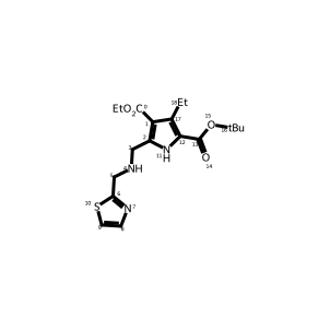 CCOC(=O)c1c(CNCc2nccs2)[nH]c(C(=O)OC(C)(C)C)c1CC